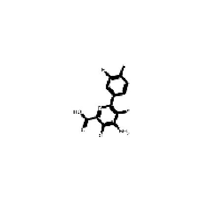 Cc1ccc(-c2nc(C(=O)O)c(Cl)c(N)c2F)cc1F